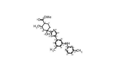 COC(=O)C1CCC(O)(c2ncc(-c3cc(C)cc(Nc4nccc(C)n4)c3)s2)CC1C